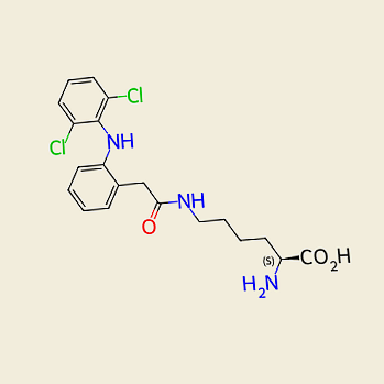 N[C@@H](CCCCNC(=O)Cc1ccccc1Nc1c(Cl)cccc1Cl)C(=O)O